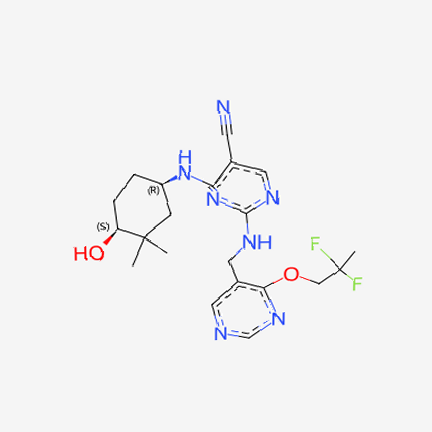 CC(F)(F)COc1ncncc1CNc1ncc(C#N)c(N[C@@H]2CC[C@H](O)C(C)(C)C2)n1